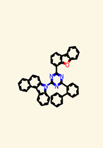 c1ccc(-c2ccccc2-c2nc(-c3cccc4c3oc3ccccc34)nc(-n3c4ccccc4c4c5ccccc5ccc43)n2)cc1